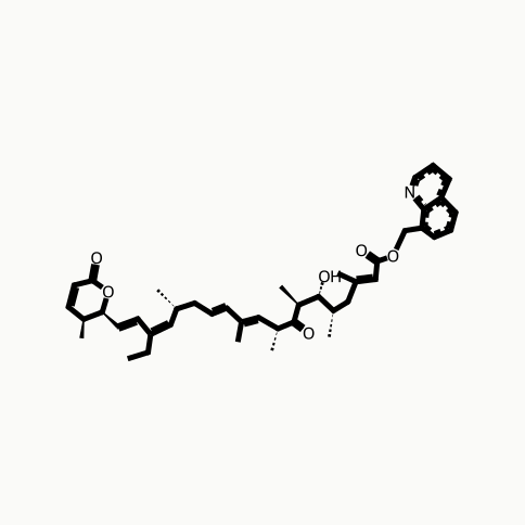 CCC(=C/[C@H](C)C/C=C/C(C)=C/[C@@H](C)C(=O)[C@@H](C)[C@H](O)[C@@H](C)C/C(C)=C/C(=O)OCc1cccc2cccnc12)/C=C/[C@@H]1OC(=O)C=C[C@@H]1C